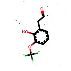 O=CCc1cccc(OC(F)(F)F)c1O